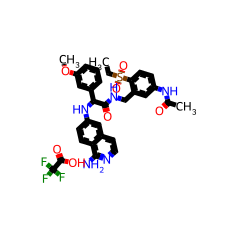 CCS(=O)(=O)c1ccc(NC(C)=O)cc1CNC(=O)C(Nc1ccc2c(N)nccc2c1)c1cccc(OC)c1.O=C(O)C(F)(F)F